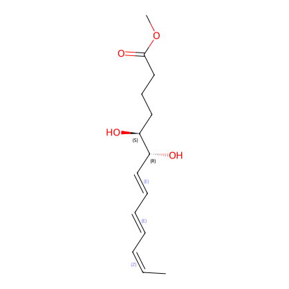 C\C=C/C=C/C=C/[C@@H](O)[C@@H](O)CCCC(=O)OC